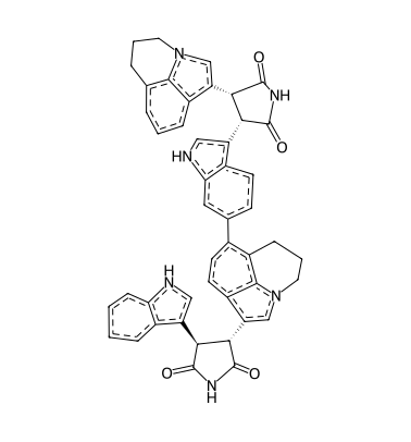 O=C1NC(=O)[C@@H](c2cn3c4c(cccc24)CCC3)[C@H]1c1c[nH]c2cc(-c3ccc4c([C@@H]5C(=O)NC(=O)[C@H]5c5c[nH]c6ccccc56)cn5c4c3CCC5)ccc12